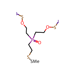 CSSCCP(=O)(CCOSI)CCOSI